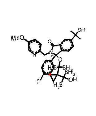 BC(B)(O)C1(C(B)(B)O[C@]2(c3ccc(Cl)cc3)c3ccc(C(C)(C)O)cc3C(=O)N2Cc2ccc(OC)cn2)CC1